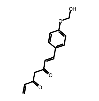 C=CC(=O)CC(=O)C=Cc1ccc(OCO)cc1